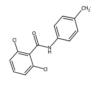 [CH2]c1ccc(NC(=O)c2c(Cl)cccc2Cl)cc1